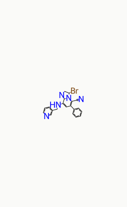 N#CC1=C(c2ccccc2)C=C(NCc2cccnc2)C2=NCC(Br)N21